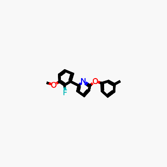 COc1cccc(-c2cccc(Oc3cccc(C)c3)n2)c1F